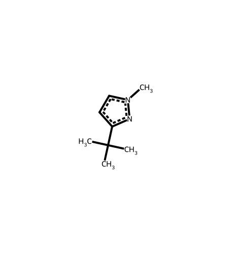 Cn1ccc(C(C)(C)C)n1